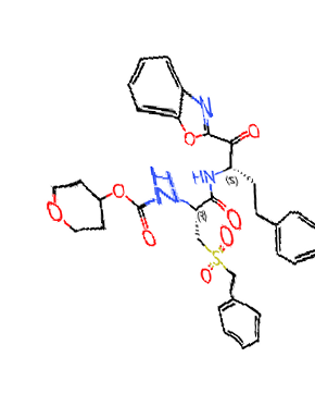 O=C(N[C@@H](CS(=O)(=O)Cc1ccccc1)C(=O)N[C@@H](CCc1ccccc1)C(=O)c1nc2ccccc2o1)OC1CCOCC1